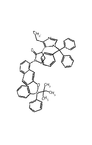 [CH2]Cc1ncn(C(c2ccccc2)(c2ccccc2)c2ccccc2)c1C1CCN(c2cccc3ccc(O[Si](c4ccccc4)(c4ccccc4)C(C)(C)C)cc23)C1=O